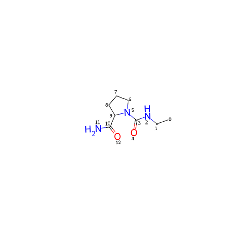 CCNC(=O)N1CCCC1C(N)=O